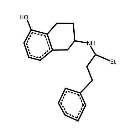 CCC(CCc1ccccc1)NC1CCc2c(O)cccc2C1